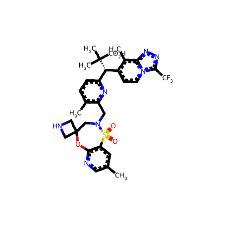 Cc1cnc2c(c1)S(=O)(=O)N(Cc1nc([C@@H](c3ccn4c(C(F)(F)F)nnc4c3C)C(C)(C)C(=O)O)ccc1C)CC1(CNC1)O2